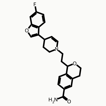 NC(=O)c1ccc2c(c1)CCOC2CCN1C=CC(c2coc3cc(F)ccc23)CC1